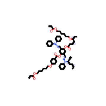 C#C/C(=C\C=C/C)N(/N=C/c1cc(OC(=O)C/C=C\C(=C/C)OCCCCCCOC(=O)C=C)c(/C=N/N(c2ccccc2)c2ccccc2)cc1OC(=O)c1ccc(OCCCCCCOC(=O)C=C)cc1)c1ccccc1